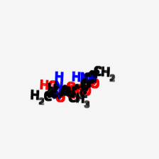 C=C1CC2CNc3cc(OCCOc4cc5c(cc4OC)C(=O)N4CC(=C)C[C@H]4[C@H](O)N5)c(OC)cc3C(=O)N2C1